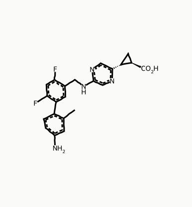 Cc1cc(N)ccc1-c1cc(CNc2cnc([C@@H]3C[C@H]3C(=O)O)cn2)c(F)cc1F